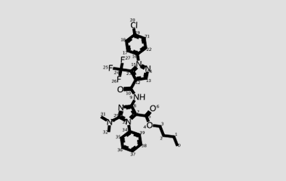 CCCCOC(=O)c1c(NC(=O)c2cnn(-c3ccc(Cl)cc3)c2C(F)(F)F)nc(N(C)C)n1-c1ccccc1